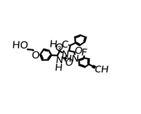 C#Cc1ccc(NC(=O)[C@@H]([C@@H](C)c2ccccc2)N2C(=O)NC(c3ccc(OCCO)cc3)C2=O)c(F)c1